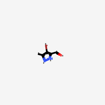 Cc1n[nH]c(C=O)c1Br